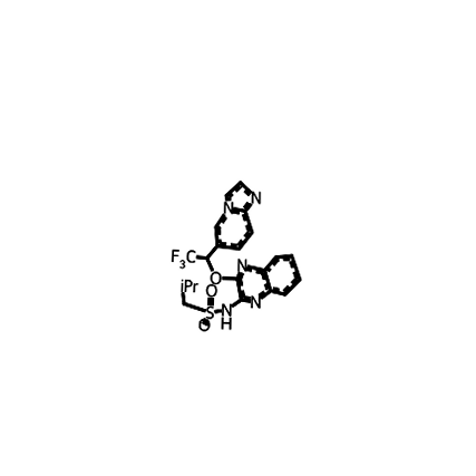 CC(C)CS(=O)(=O)Nc1nc2ccccc2nc1OC(c1ccc2nccn2c1)C(F)(F)F